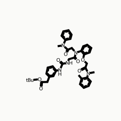 Cc1ccccc1N(C)C(=O)COc1ccccc1N(CC(=O)N(C)c1ccccc1)C(=O)CNC(=O)Nc1cccc(CC(=O)OC(C)(C)C)c1